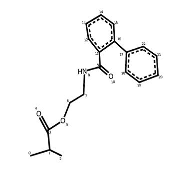 CC(C)C(=O)OCCNC(=O)c1ccccc1-c1ccccc1